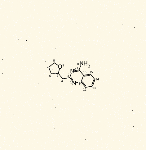 Nc1nc(CC2CCCO2)nc2ccccc12